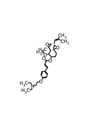 CCN(CC)CCOc1ccc(/C=C/C(=O)O[C@@H]2CCC3(CO3)[C@@H]([C@@]3(C)O[C@@H]3CC=C(C)C)[C@@H]2OC)cc1